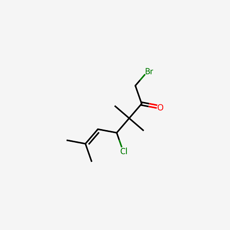 CC(C)=CC(Cl)C(C)(C)C(=O)CBr